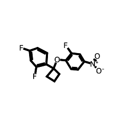 O=[N+]([O-])c1ccc(OC2(c3ccc(F)cc3F)CCC2)c(F)c1